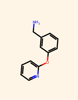 NCc1cccc(Oc2ccccn2)c1